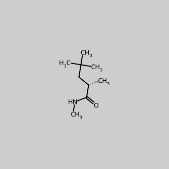 CNC(=O)[C@@H](C)CC(C)(C)C